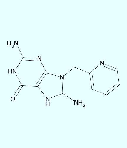 Nc1nc2c(c(=O)[nH]1)NC(N)N2Cc1ccccn1